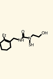 CCC1=C(CNC(=O)N(S)CCO)CCCC1